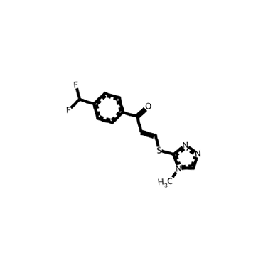 Cn1cnnc1S/C=C/C(=O)c1ccc(C(F)F)cc1